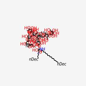 CCCCCCCCCCCCC/C=C/[C@@H](O)[C@H](CO[C@@H]1OC(CO)[C@@H](O[C@@H]2OC(CO[C@@H]3OC(CO)[C@@H](O[C@@H]4OC(CO)[C@H](O)[C@H](O)C4O)[C@H](O)C3NC(C)=O)[C@H](O)[C@H](O[C@@H]3OC(CO)[C@@H](O[C@H]4OC(C)[C@@H](O)C(O)[C@@H]4O)[C@H](O[C@@H]4OC(CO)[C@H](O)[C@H](O[C@]5(C(=O)O)CC(O)[C@@H](NC(C)=O)C([C@H](O)[C@H](O)CO)O5)C4O)C3NC(C)=O)C2O)[C@H](O)C1O)NC(=O)CCCCCCCCCCCCCCCCCCCCCCCCC